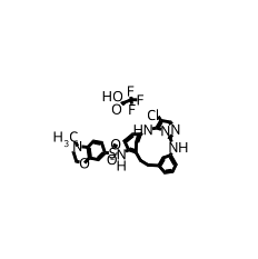 CN1CCOc2cc(S(=O)(=O)Nc3ccc4cc3CCc3cccc(c3)Nc3ncc(Cl)c(n3)N4)ccc21.O=C(O)C(F)(F)F